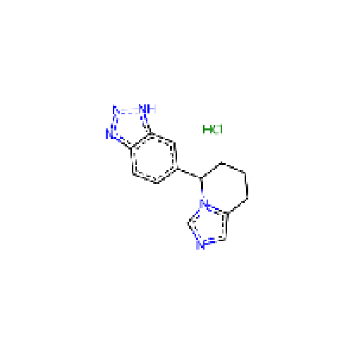 Cl.c1cc2nn[nH]c2cc1C1CCCc2cncn21